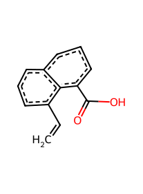 C=Cc1cccc2cccc(C(=O)O)c12